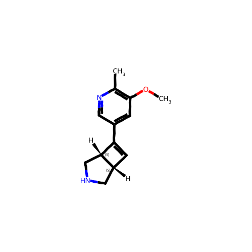 COc1cc(C2=C[C@@H]3CNC[C@H]23)cnc1C